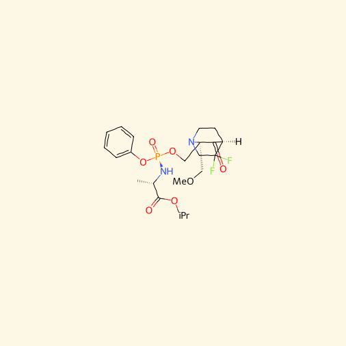 COC[C@@]1(CO[P@](=O)(N[C@@H](C)C(=O)OC(C)C)Oc2ccccc2)C(=O)[C@H]2CCN1CC2(F)F